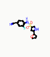 N#Cc1ccc(NS(=O)(=O)c2c[nH]c(-c3ccco3)c2)c(F)c1